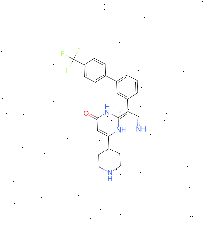 N=C/C(=C1/NC(=O)C=C(C2CCNCC2)N1)c1cccc(-c2ccc(C(F)(F)F)cc2)c1